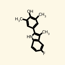 Cc1cc(-c2[nH]c3ccc(F)cc3c2C)cc(C)c1O